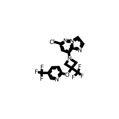 FC(F)(F)c1ccc(OC2(C(F)(F)F)CN(c3cc(Cl)nn4ccnc34)C2)nc1